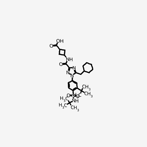 CC(C)(C)NS(=O)(=O)c1ccc(-n2nc(C(=O)NC3CC(C(=O)O)C3)nc2CC2CCCCC2)cc1C(C)(C)C